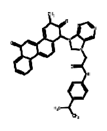 CC1C=c2c(ccc3c2=CC(=O)c2ccccc2-3)C(N2CN(CC(=O)Nc3ccc(C(C)C)cc3)c3cncnc32)C1=O